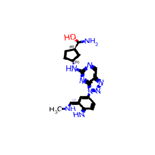 CN/C=C1/C=C(n2nnc3cnc(N[C@@H]4CC[C@@H](C(N)O)C4)nc32)C=CC1=N